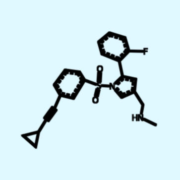 CNCc1cc(-c2ccccc2F)n(S(=O)(=O)c2cccc(C#CC3CC3)c2)c1